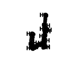 O=C[C@](CO)(CCCCNC(=O)[C@H](CCCCNC(=O)COCCOCCNC(=O)COCCOCCNC(=O)CC[C@H](NC(=O)[C@H]1CC[C@H](CNC(=O)CCCCCCCCCCCCCCCCCCC(=O)O)CC1)C(=O)O)NC(=O)COCCOCCNC(=O)COCCOCCNC(=O)CC[C@H](NC(=O)[C@H]1CC[C@H](CNC(=O)CCCCCCCCCCCCCCCCCCC(=O)O)CC1)C(=O)O)NS